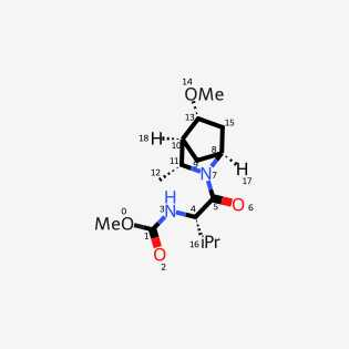 COC(=O)N[C@H](C(=O)N1[C@H]2C[C@@H]([C@H]1C)[C@H](OC)C2)C(C)C